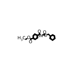 CCOC(=O)c1ccc(C(=O)NC(=O)OCc2ccccc2)cc1